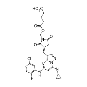 O=C(O)CCCC(=O)OCN1C(=O)C/C(=C\c2cnn3c(NC4CC4)cc(Nc4cc(Cl)ccc4F)nc23)C1=O